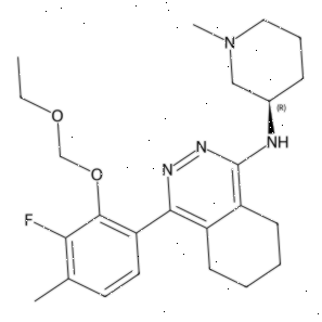 CCOCOc1c(-c2nnc(N[C@@H]3CCCN(C)C3)c3c2CCCC3)ccc(C)c1F